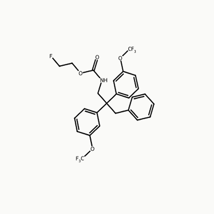 O=C(NCC(Cc1ccccc1)(c1cccc(OC(F)(F)F)c1)c1cccc(OC(F)(F)F)c1)OCCF